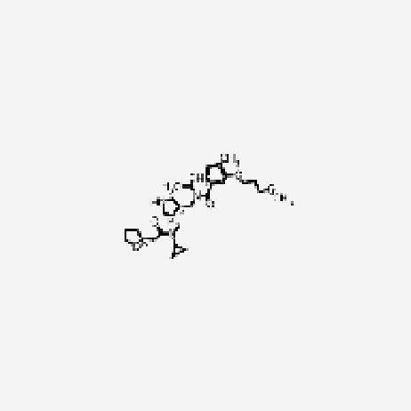 COCCCOc1cc(C(=O)N(C[C@@H]2CNC[C@H]2CN(C(=O)C[C@@H]2CCCO2)C2CC2)C(C)C)ccc1C